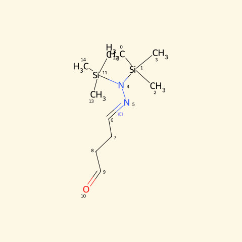 C[Si](C)(C)N(/N=C/CCC=O)[Si](C)(C)C